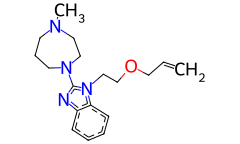 C=CCOCCn1c(N2CCCN(C)CC2)nc2ccccc21